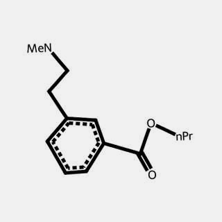 CCCOC(=O)c1cccc(CCNC)c1